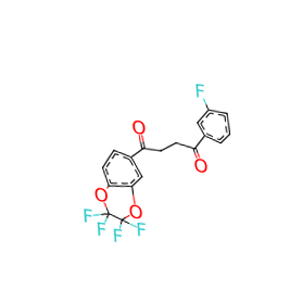 O=C(CCC(=O)c1ccc2c(c1)OC(F)(F)C(F)(F)O2)c1cccc(F)c1